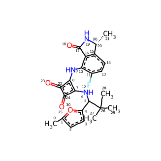 Cc1ccc(C(Nc2c(Nc3c(F)ccc4c3C(=O)N[C@@H]4C)c(=O)c2=O)C(C)(C)C)o1